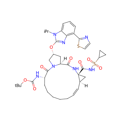 CC(C)n1c(O[C@@H]2C[C@H]3C(=O)N[C@]4(C(=O)NS(=O)(=O)C5CC5)C[C@H]4/C=C\CCCCC[C@H](NC(=O)OC(C)(C)C)C(=O)N3C2)nc2c(-c3nccs3)cccc21